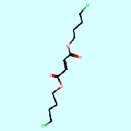 O=C(C=CC(=O)OCCCCCl)OCCCCCl